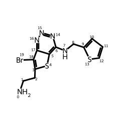 NCCc1sc2c(NCc3cccs3)nnnc2c1Br